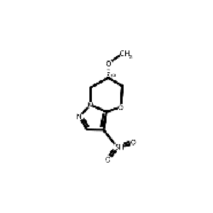 CO[C@@H]1COc2c([SH](=O)=O)cnn2C1